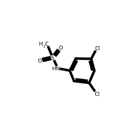 CS(=O)(=O)Nc1cc(Cl)cc(Cl)c1